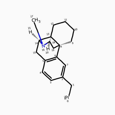 CC(C)Cc1ccc2c(c1)[C@]13CCCC[C@@H]1[C@H](C2)N(C)CC3